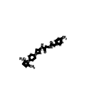 Cc1ccc(C)n1C1CCC(N2CC(NC(=O)CNC(=O)Cc3ccc(C(F)(F)F)cc3)C2)CC1